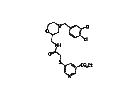 CCOC(=O)c1cncc(SCC(=O)NCC2CN(Cc3ccc(Cl)c(Cl)c3)CCO2)c1